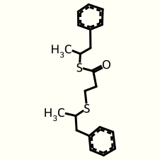 CC(Cc1ccccc1)SCCC(=O)SC(C)Cc1ccccc1